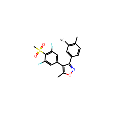 Cc1ccc(-c2noc(C)c2-c2cc(F)c(S(C)(=O)=O)c(F)c2)cc1C#N